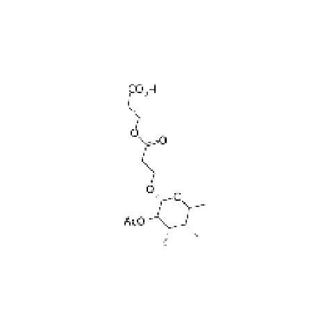 CC(=O)OC1[C@H](OCCC(=O)OCCC(=O)O)OC(C)[C@H](C)[C@@H]1C